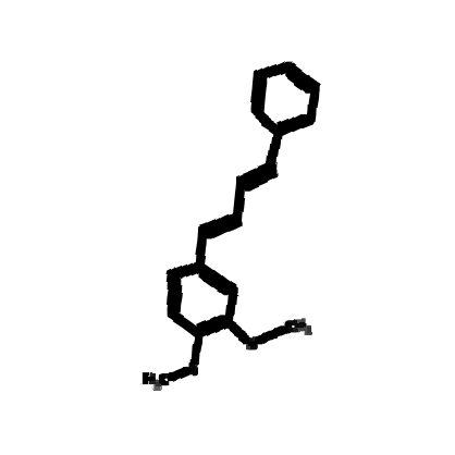 CSc1ccc(/C=C/C=C/c2ccccc2)cc1SC